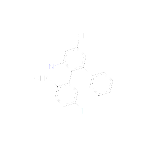 Nc1cc(C(F)(F)F)cc(-c2ccccc2)c1-c1cc(F)ccc1C=O